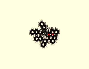 NC(=O)C1(C(=O)N(CC(O)(Cc2ccc3ccccc3c2)C(c2ccc3ccccc3c2)c2cccc3ccccc23)CC(O)(Cc2ccc3ccccc3c2)C(c2ccc3ccccc3c2)c2cccc3ccccc23)CCCC1